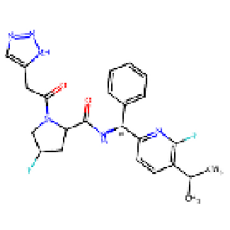 CC(C)c1ccc([C@@H](NC(=O)C2CC(F)CN2C(=O)Cc2cnn[nH]2)c2ccccc2)nc1F